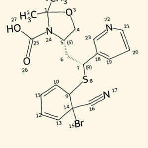 CC1(C)OC[C@H](C[C@@H](SC2C=CC=CC2(Br)C#N)c2cccnc2)N1C(=O)O